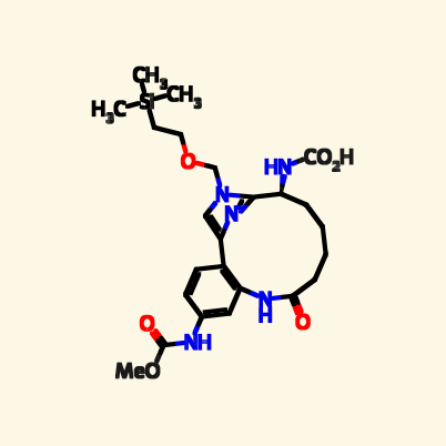 COC(=O)Nc1ccc2c(c1)NC(=O)CCCC[C@H](NC(=O)O)c1nc-2cn1COCC[Si](C)(C)C